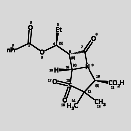 CCCC(=O)O[C@@H](CC)[C@@H]1C(=O)N2[C@@H](C(=O)O)C(C)(C)S(=O)(=O)[C@H]12